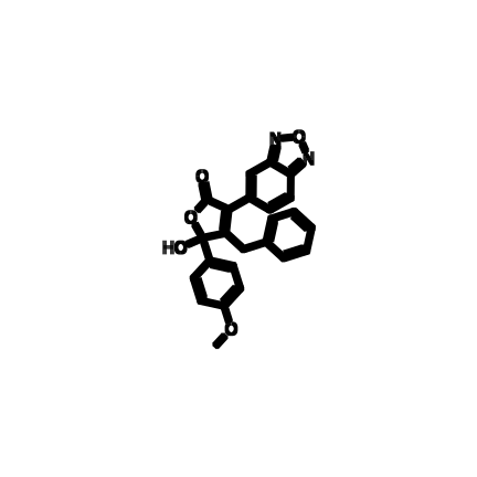 COc1ccc(C2(O)OC(=O)C(c3ccc4nonc4c3)=C2Cc2ccccc2)cc1